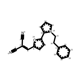 N#CC(C#N)=Cc1ccc(-c2cccn2CCc2ccccc2)o1